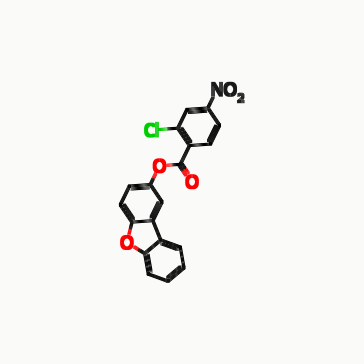 O=C(Oc1ccc2oc3ccccc3c2c1)c1ccc([N+](=O)[O-])cc1Cl